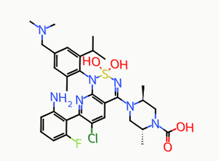 Cc1cc(CN(C)C)cc(C(C)C)c1N1c2nc(-c3c(N)cccc3F)c(Cl)cc2C(N2C[C@@H](C)N(C(=O)O)C[C@@H]2C)=NS1(O)O